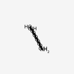 NNC(=O)CCOCCOCCOCCOCCOCCOCCOCCOCCNC(=O)CO